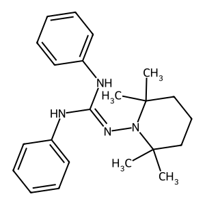 CC1(C)CCCC(C)(C)N1N=C(Nc1ccccc1)Nc1ccccc1